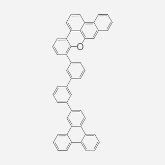 c1cc(-c2cccc(-c3cccc4c3Oc3cc5ccccc5c5cccc-4c35)c2)cc(-c2ccc3c4ccccc4c4ccccc4c3c2)c1